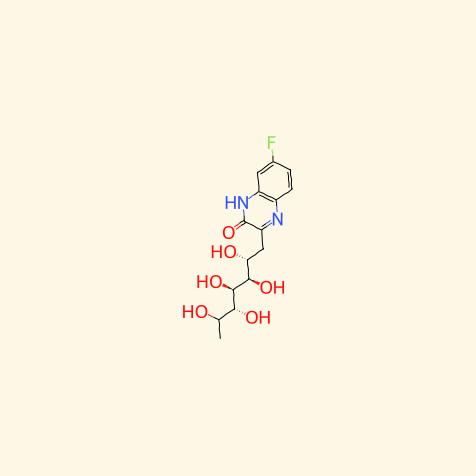 CC(O)[C@@H](O)[C@@H](O)[C@H](O)[C@H](O)Cc1nc2ccc(F)cc2[nH]c1=O